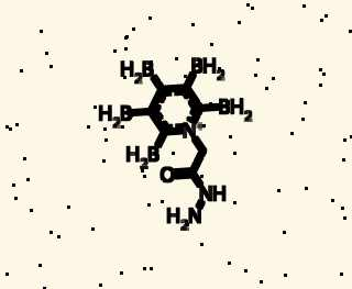 Bc1c(B)c(B)[n+](CC(=O)NN)c(B)c1B